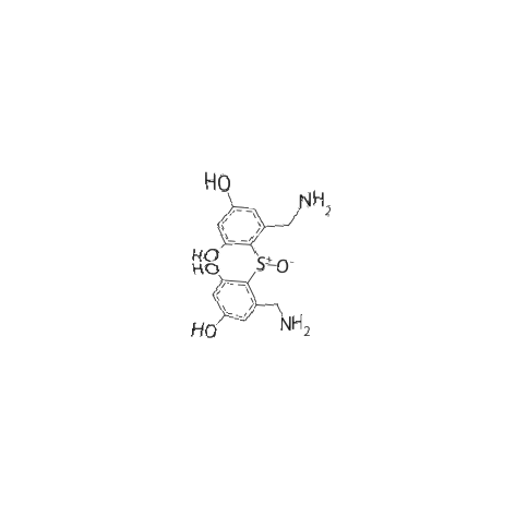 NCc1cc(O)cc(O)c1[S+]([O-])c1c(O)cc(O)cc1CN